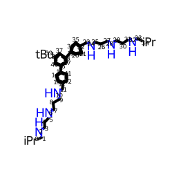 CC(C)CNCCCNCCCNCc1ccc(-c2cc(-c3ccc(CNCCCNCCCNCC(C)C)cc3)cc(C(C)(C)C)c2)cc1